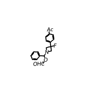 CC(=O)c1ccc(C2(F)CN(C(OC=O)c3ccccc3)C2)cc1